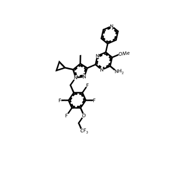 COc1c(N)nc(-c2nn(Cc3c(F)c(F)c(OCC(F)(F)F)c(F)c3F)c(C3CC3)c2C)nc1-c1ccncc1